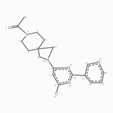 CC(=O)N1CCC2(CC1)CN(c1cc(Cl)nc(-c3cccnc3)n1)C2